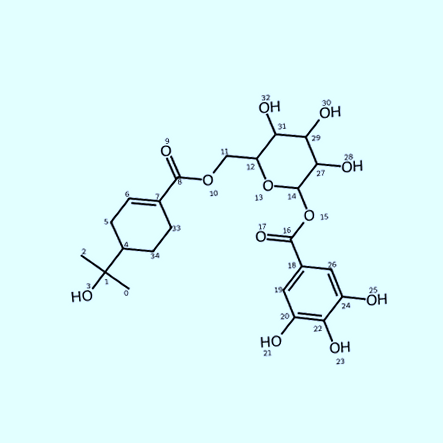 CC(C)(O)C1CC=C(C(=O)OCC2OC(OC(=O)c3cc(O)c(O)c(O)c3)C(O)C(O)C2O)CC1